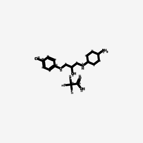 NC1CCC(NCC(O)COc2ccc(Cl)cc2)CC1.O=C(O)C(F)(F)F